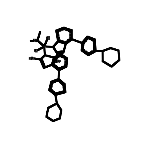 CCCC1=Cc2c(-c3ccc(C4CCCCC4)cc3)cccc2[CH]1[Zr]([Cl])([Cl])([CH]1C(CCC)=Cc2c(-c3ccc(C4CCCCC4)cc3)cccc21)[SiH](C)C